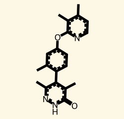 Cc1cc(Oc2nccc(C)c2C)ccc1-c1c(C)n[nH]c(=O)c1C